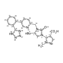 CCCCc1cn(-c2c(C(=O)O)cnn2C)c(=O)n1Cc1ccc(-c2ccccc2-c2nnn[nH]2)cn1